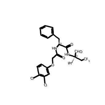 CC(C)[C@](C=O)(CC(F)(F)F)NC(=O)[C@H](Cc1ccccc1)NC(=O)COc1ccc(Cl)c(Cl)c1